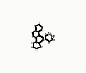 c1ccc2c(c1)ccc1c3c(ccc12)CCCC3.c1ccnnc1